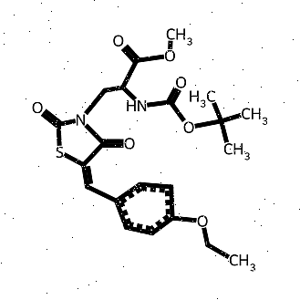 CCOc1ccc(C=C2SC(=O)N(CC(NC(=O)OC(C)(C)C)C(=O)OC)C2=O)cc1